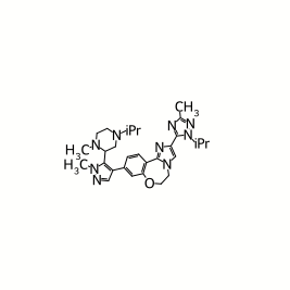 Cc1nc(-c2cn3c(n2)-c2ccc(-c4cnn(C)c4C4CN(C(C)C)CCN4C)cc2OCC3)n(C(C)C)n1